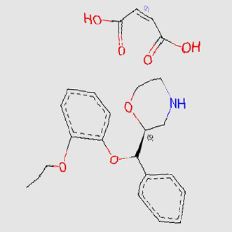 CCOc1ccccc1OC(c1ccccc1)[C@@H]1CNCCO1.O=C(O)/C=C\C(=O)O